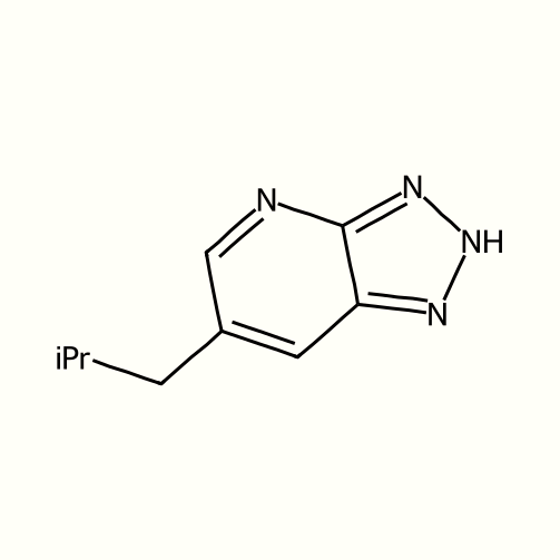 CC(C)Cc1cnc2n[nH]nc2c1